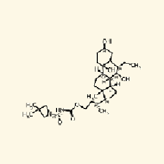 CC[C@@H]1C2C[C@H](O)CCC2(C)[C@H]2CCC3(C)[C@@H]([C@H](C)CCOC(=O)N[S@@+]([O-])N4CC(C)(C)C4)CC[C@H]3[C@H]2[C@@H]1O